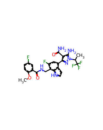 COc1ccc(F)cc1C(=O)NCc1c(F)cc(-c2nn(C(C)C(F)(F)F)c(N)c2C(N)=O)c2cc[nH]c12